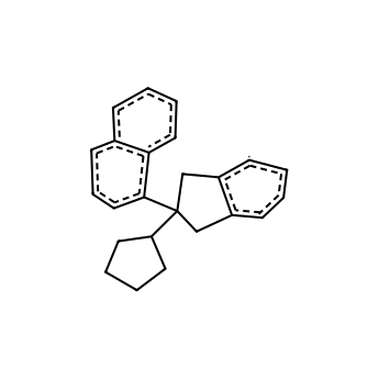 [c]1cccc2c1CC(c1cccc3ccccc13)(C1CCCC1)C2